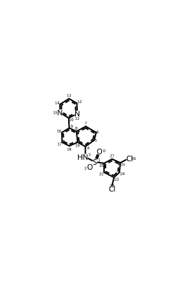 O=S(=O)(Nc1cccc2c(-c3ncccn3)cccc12)c1cc(Cl)cc(Cl)c1